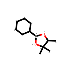 CC1OB(C2CCCCC2)OC1(C)C